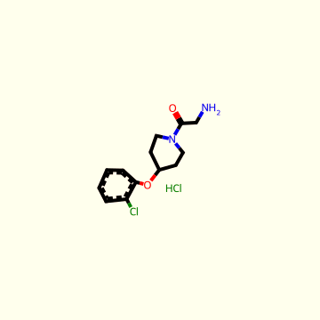 Cl.NCC(=O)N1CCC(Oc2ccccc2Cl)CC1